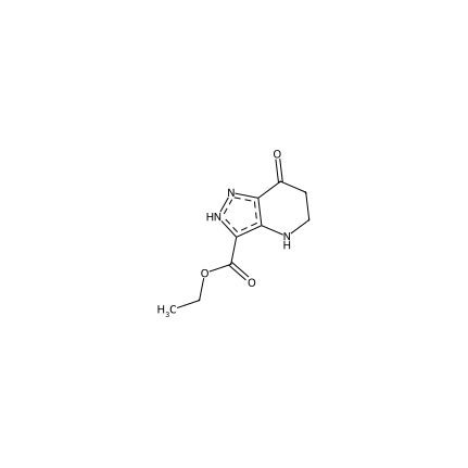 CCOC(=O)c1[nH]nc2c1NCCC2=O